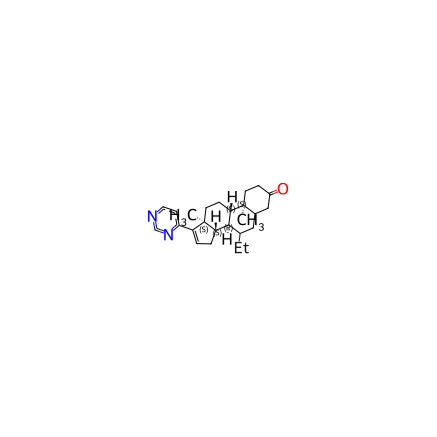 CCC1CC2CC(=O)CC[C@]2(C)[C@H]2CC[C@]3(C)C(c4ccncn4)=CC[C@H]3[C@H]12